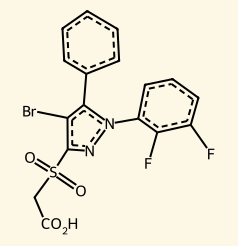 O=C(O)CS(=O)(=O)c1nn(-c2cccc(F)c2F)c(-c2ccccc2)c1Br